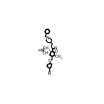 CNC.Cc1c(COc2ccc(C#N)cc2)ccc2c(CCC3CCN(Cc4ccccc4)CC3)noc12